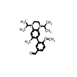 COc1ccc(C=O)cc1-c1cc2c(cc1C)N(C(C)C)CCN2C(C)C